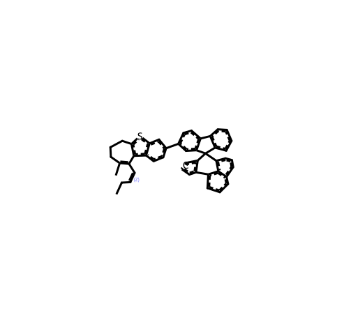 CC/C=C\C1=C(C)CCCc2sc3cc(-c4ccc5c(c4)C4(c6ccccc6-5)c5ccccc5-c5cccc6cccc4c56)ccc3c21